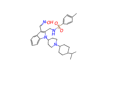 Cc1ccc(S(=O)(=O)NCc2c(/C=N\O)c3ccccc3n2C2CCN(C3CCC(C(C)C)CC3)CC2)cc1